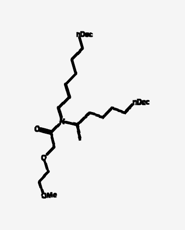 CCCCCCCCCCCCCCCCN(C(=O)COCCOC)C(C)CCCCCCCCCCCCCC